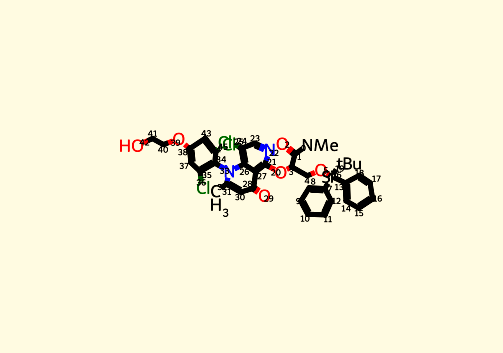 CNC(=O)C(CO[Si](c1ccccc1)(c1ccccc1)C(C)(C)C)Oc1ncc(Cl)c2c1c(=O)cc(C)n2-c1c(Cl)cc(OCCO)cc1Cl